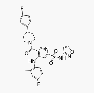 Cc1cc(F)ccc1Nc1cc(S(=O)(=O)Nc2ccon2)ncc1C(=O)N1CCC(c2ccc(F)cc2)CC1